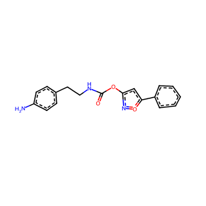 Nc1ccc(CCNC(=O)Oc2cc(-c3ccccc3)on2)cc1